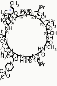 C/C=C/C[C@@H](C)[C@@H](O)[C@H]1C(=O)N[C@@H](CC)C(=O)N(C)[C@H](C)C(=O)N(C)[C@@H]([C@H](C)CN2CCN(S(C)(=O)=O)CC2)C(=O)N[C@@H](C(C)C)C(=O)N(C)[C@@H](CCC(C)C)C(=O)N[C@@H](C)C(=O)N[C@H](C)C(=O)N(C)[C@@H](CC(C)C)C(=O)N(C)[C@@H](CCC(C)C)C(=O)N(C)[C@@H](C(C)C)C(=O)N1C